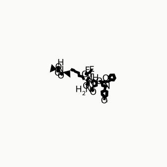 COc1ccc(-c2cc(O[C@@H]3C[C@@H](C(N)=O)N(C(=O)[C@H](CCCCC/C=C\[C@@H]4C[C@@H]4C(=O)NS(=O)(=O)C4CC4)NC(=O)C(F)(F)F)C3)c3oc4ccccc4c3n2)cc1